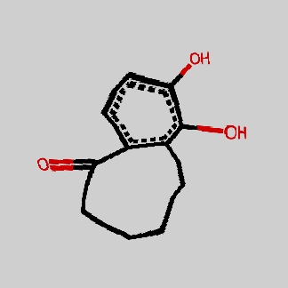 O=C1CCCCc2c1ccc(O)c2O